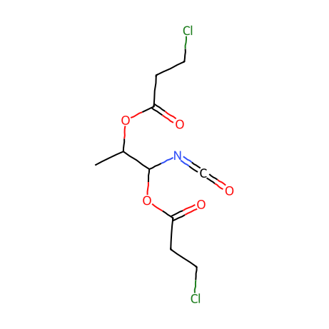 CC(OC(=O)CCCl)C(N=C=O)OC(=O)CCCl